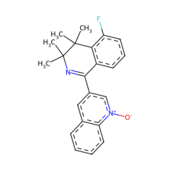 CC1(C)N=C(c2cc3ccccc3[n+]([O-])c2)c2cccc(F)c2C1(C)C